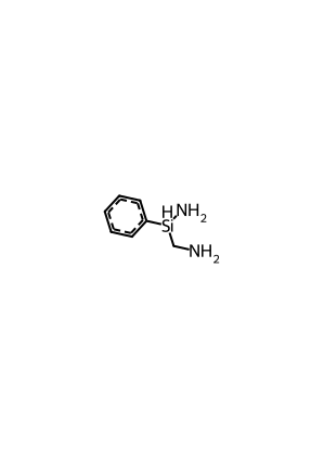 NC[SiH](N)c1ccccc1